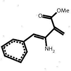 C=C(C(=O)OC)C(N)=Cc1ccccc1